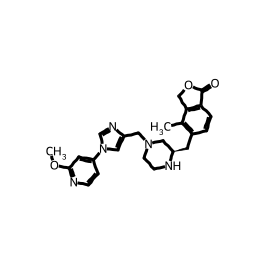 COc1cc(-n2cnc(CN3CCN[C@H](Cc4ccc5c(c4C)COC5=O)C3)c2)ccn1